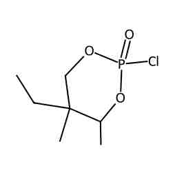 CCC1(C)COP(=O)(Cl)OC1C